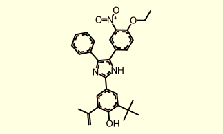 C=C(C)c1cc(-c2nc(-c3ccccc3)c(-c3ccc(OCC)c([N+](=O)[O-])c3)[nH]2)cc(C(C)(C)C)c1O